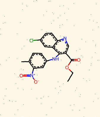 CCOC(=O)c1cnc2ccc(Cl)cc2c1Nc1ccc(C)c([N+](=O)[O-])c1